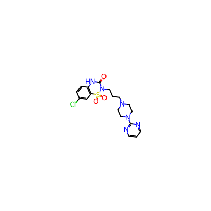 O=C1Nc2ccc(Cl)cc2S(=O)(=O)N1CCCN1CCN(c2ncccn2)CC1